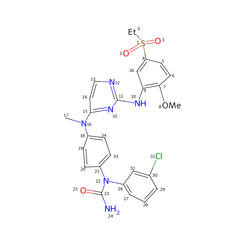 CCS(=O)(=O)c1ccc(OC)c(Nc2nccc(N(C)c3ccc(N(C(N)=O)c4cccc(Cl)c4)cc3)n2)c1